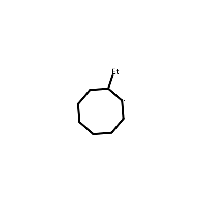 CCC1[CH]CCCCCC1